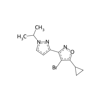 CC(C)n1ccc(-c2noc(C3CC3)c2Br)n1